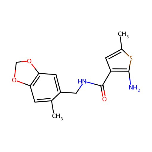 Cc1cc(C(=O)NCc2cc3c(cc2C)OCO3)c(N)s1